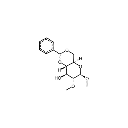 CO[C@@H]1O[C@@H]2COC(c3ccccc3)O[C@H]2[C@H](O)[C@H]1OC